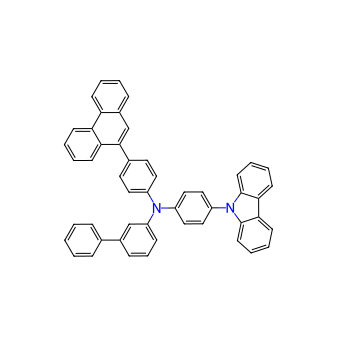 c1ccc(-c2cccc(N(c3ccc(-c4cc5ccccc5c5ccccc45)cc3)c3ccc(-n4c5ccccc5c5ccccc54)cc3)c2)cc1